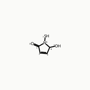 O=C1C=CC(O)N1S